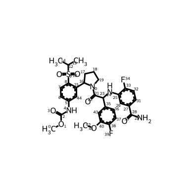 COC(=O)Nc1ccc(S(=O)(=O)C(C)C)c(C2CCCN2C(=O)C(Nc2cc(C(N)=O)ccc2F)c2ccc(F)c(OC)c2)c1